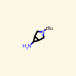 CC(C)(C)N1CC2C(N)C2C1